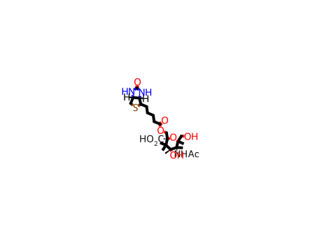 CC(=O)N[C@@]1(C)C(C)(CO)O[C@@](COC(=O)CCCCC2SC[C@@H]3NC(=O)N[C@H]23)(C(=O)O)C(C)(C)[C@@]1(C)O